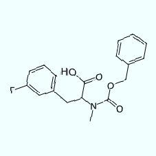 CN(C(=O)OCc1ccccc1)C(Cc1cccc(F)c1)C(=O)O